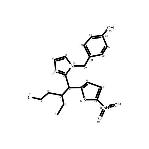 CCC(CCCl)C(c1ccc([SH](=O)=O)s1)c1nccn1Cc1ccc(O)cc1